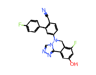 N#Cc1ccc(N2Cc3c(F)cc(O)cc3-c3nncn32)cc1-c1ccc(F)cc1